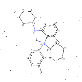 Cc1cccc([N+](C)(c2c(C)cccc2[N]C2CCCCC2)C2CCCCC2)c1